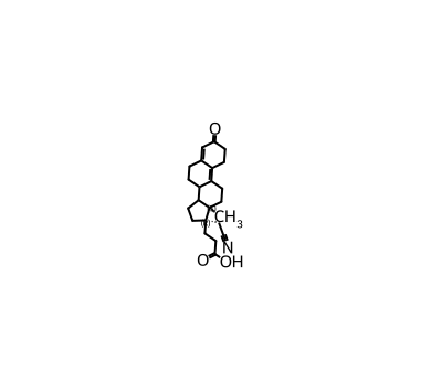 C[C@]12CCC3=C4CCC(=O)C=C4CCC3C1CC[C@]2(CC#N)CCC(=O)O